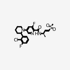 C[C@H](/C=C/S(C)(=O)=O)NC(=O)c1ncc(N2CCCCC2c2cccc(F)c2Cl)cc1F